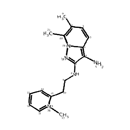 Cc1ccc2c(N)c(NCCc3cccc[n+]3C)nn2c1C